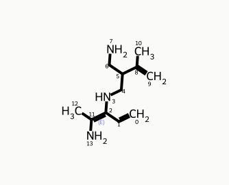 C=C/C(NCC(CN)C(=C)C)=C(/C)N